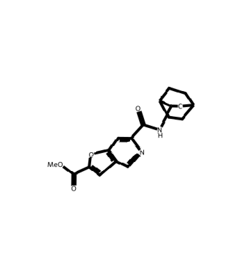 COC(=O)c1cc2cnc(C(=O)NC3CC4CCC3CC4)cc2o1